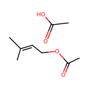 CC(=O)O.CC(=O)OCC=C(C)C